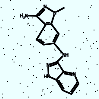 Cn1nc(N)c2ccc(Nc3n[nH]c4cccnc34)cc21